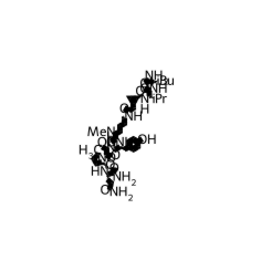 CCC(C)[C@H](NC(=O)[C@@H](NC(=O)[C@@H]1CC1CC(=O)NCCCC[C@H](NC)C(=O)N[C@@H](Cc1ccc(O)cc1)C(=O)N[C@H](C(=O)N1CCC[C@H]1C(=O)N[C@@H](CCC(N)=O)C(N)=O)C(C)O)C(C)C)C(N)=O